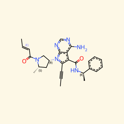 CC#Cc1c(C(=O)N[C@H](C)c2ccccc2)c2c(N)ncnc2n1[C@@H]1C[C@H](C)N(C(=O)/C=C/C)C1